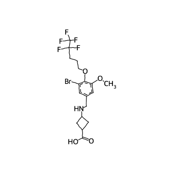 COc1cc(CNC2CC(C(=O)O)C2)cc(Br)c1OCCCC(F)(F)C(F)(F)F